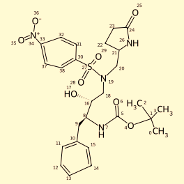 CC(C)(C)OC(=O)N[C@@H](Cc1ccccc1)[C@H](O)CN(CC1CCC(=O)N1)S(=O)(=O)c1ccc([N+](=O)[O-])cc1